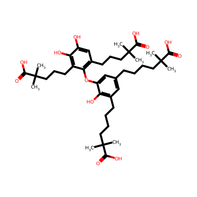 CC(C)(CCCCc1cc(CCCCC(C)(C)C(=O)O)c(O)c(Oc2c(CCCC(C)(C)C(=O)O)cc(O)c(O)c2CCCC(C)(C)C(=O)O)c1)C(=O)O